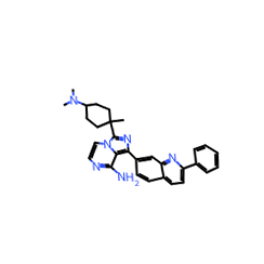 CN(C)C1CCC(C)(c2nc(-c3ccc4ccc(-c5ccccc5)nc4c3)c3c(N)nccn23)CC1